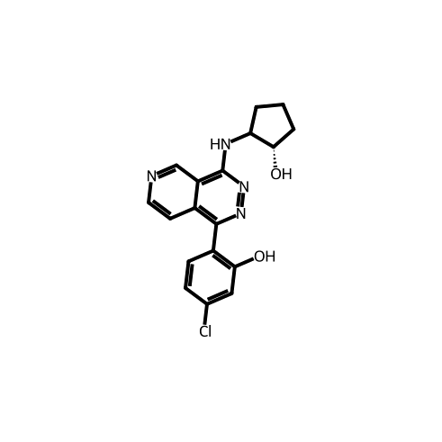 Oc1cc(Cl)ccc1-c1nnc(NC2CCC[C@@H]2O)c2cnccc12